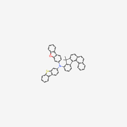 CC1(C)c2ccc3ccc4ccccc4c3c2-c2cccc(N(c3ccc4c(c3)oc3ccccc34)c3ccc4c(c3)sc3ccccc34)c21